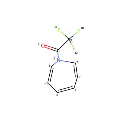 O=C(N1C=[C]C=CC=C1)C(F)(F)F